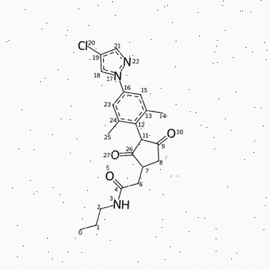 CCCNC(=O)CC1CC(=O)C(c2c(C)cc(-n3cc(Cl)cn3)cc2C)C1=O